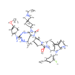 Cc1nc(Nc2ccc(OC(F)(F)F)cc2)nc2c1n(-c1ccc(C(=O)N3CCc4c(n(Cc5ccc(C#N)cc5F)c5ncccc45)C3)nc1)c(=O)n2C1CC2(C1)CN(CC(C)(C)C)C2